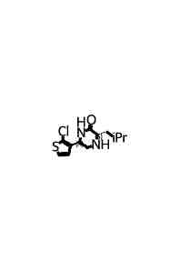 CC(C)C[C@@H]1NC[C@@H](c2ccsc2Cl)NC1=O